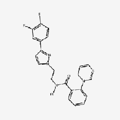 CCN(CCn1ccc(-c2ccc(F)c(F)c2)n1)C(=O)c1ccccc1N1C=NC=CC1